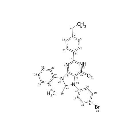 CCc1ccc(-c2nc3c(c(=O)[nH]2)N(c2ccc(Br)cc2)C(CC)N3c2ccccc2)cc1